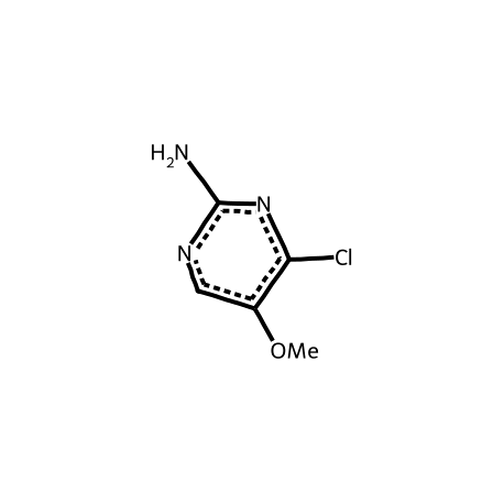 COc1cnc(N)nc1Cl